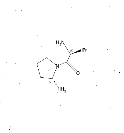 CC(C)[C@H](N)C(=O)N1CCC[C@H]1N